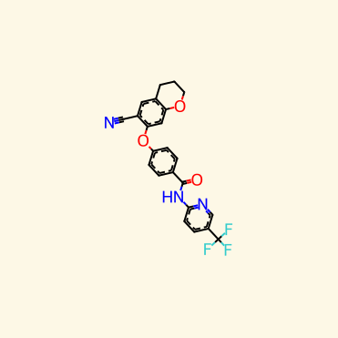 N#Cc1cc2c(cc1Oc1ccc(C(=O)Nc3ccc(C(F)(F)F)cn3)cc1)OCCC2